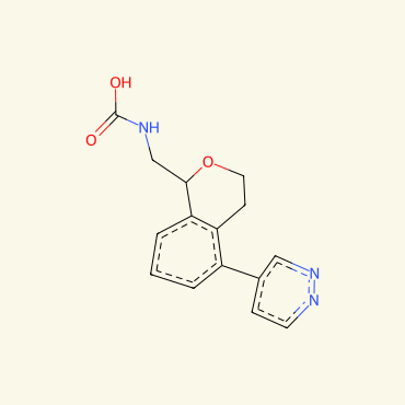 O=C(O)NCC1OCCc2c(-c3ccnnc3)cccc21